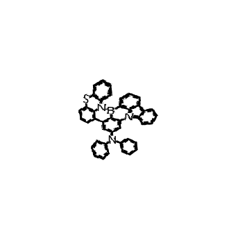 c1ccc(N(c2ccccc2)c2cc3c4c(c2)-n2c5ccccc5c5cccc(c52)B4N2c4ccccc4Sc4cccc-3c42)cc1